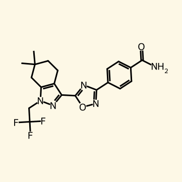 CC1(C)CCc2c(-c3nc(-c4ccc(C(N)=O)cc4)no3)nn(CC(F)(F)F)c2C1